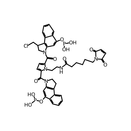 O=C(CCCCCN1C(=O)C=CC1=O)NCCn1c(C(=O)N2CCc3c2cc(OP(O)O)c2ccccc32)ccc1C(=O)N1CC(CCl)c2c1cc(OP(O)O)c1ccccc21